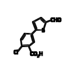 O=Cc1ccc(-c2ccc(Cl)c(C(=O)O)c2)s1